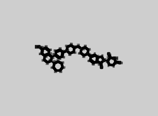 O=C1CC[C@H](N2Cc3cc(N4CCN(CC5CCN(c6ccc([C@H]7c8ccc(O)cc8CC[C@H]7C7CCCCCC7)cc6)CC5)CC4)ccc3C2=O)C(=O)N1